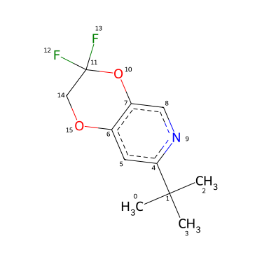 CC(C)(C)c1cc2c(cn1)OC(F)(F)CO2